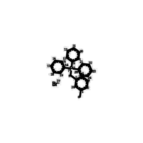 Cc1cccc(C[P+](c2ccccc2)(c2ccccc2)c2ccccc2)c1.[Br-]